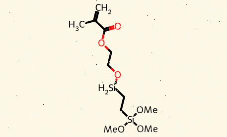 C=C(C)C(=O)OCCO[SiH2]CC[Si](OC)(OC)OC